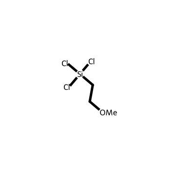 COCC[Si](Cl)(Cl)Cl